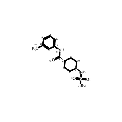 CC(C)(C)S(=O)(=O)N[C@H]1CC[C@H](C(=O)Nc2cccc(C(F)(F)F)c2)CC1